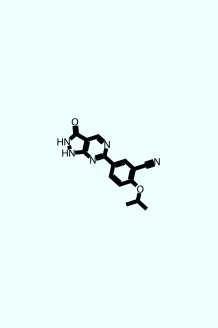 CC(C)Oc1ccc(-c2ncc3c(=O)[nH][nH]c3n2)cc1C#N